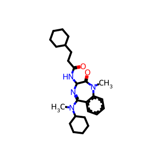 CN1C(=O)C(NC(=O)CCC2CCCCC2)N=C(N(C)C2CCCCC2)c2ccccc21